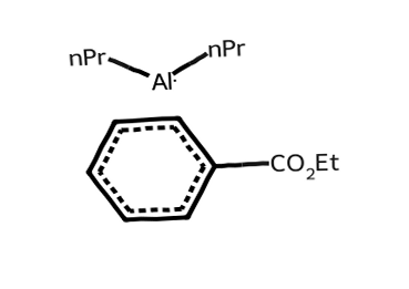 CCOC(=O)c1ccccc1.CC[CH2][Al][CH2]CC